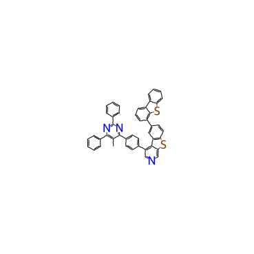 Cc1c(-c2ccccc2)nc(-c2ccccc2)nc1-c1ccc(-c2cncc3sc4ccc(-c5cccc6c5sc5ccccc56)cc4c23)cc1